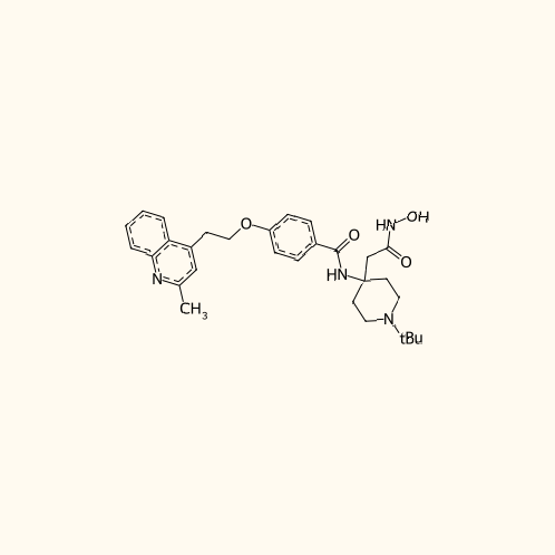 Cc1cc(CCOc2ccc(C(=O)NC3(CC(=O)NO)CCN(C(C)(C)C)CC3)cc2)c2ccccc2n1